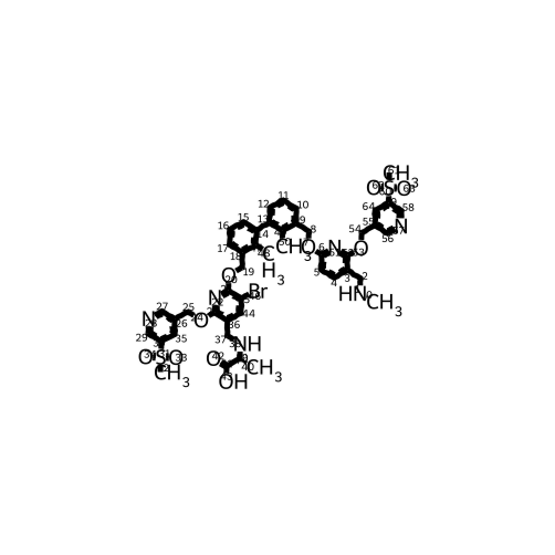 CNCc1ccc(OCc2cccc(-c3cccc(COc4nc(OCc5cncc(S(C)(=O)=O)c5)c(CN[C@@H](C)C(=O)O)cc4Br)c3C)c2C)nc1OCc1cncc(S(C)(=O)=O)c1